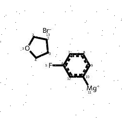 C1CCOC1.Fc1ccc[c]([Mg+])c1.[Br-]